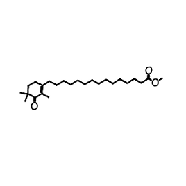 COC(=O)CCCCCCCCCCCCCCC1=C(C)C(=O)C(C)(C)CC1